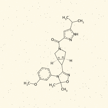 COc1cccc(N2C(C3[C@H]4CN(C(=O)c5cc(C(C)C)[nH]n5)C[C@@H]34)=NOC2(C)C)c1